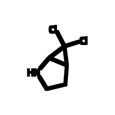 ClC1(Cl)C2CCNC21